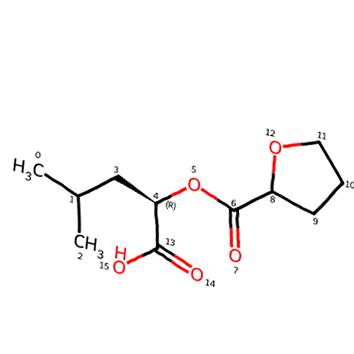 CC(C)C[C@@H](OC(=O)C1CCCO1)C(=O)O